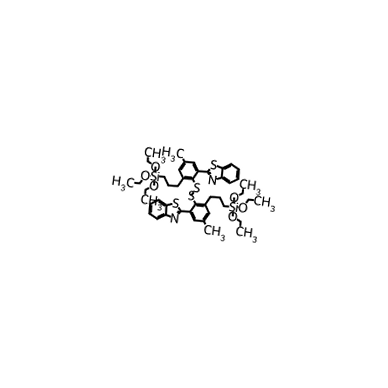 CCO[Si](CCCc1cc(C)cc(-c2nc3ccccc3s2)c1SSc1c(CCC[Si](OCC)(OCC)OCC)cc(C)cc1-c1nc2ccccc2s1)(OCC)OCC